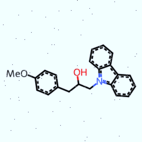 COc1ccc(CC(O)Cn2c3ccccc3c3ccccc32)cc1